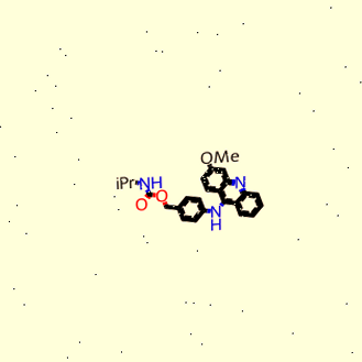 COc1ccc2c(Nc3ccc(COC(=O)NC(C)C)cc3)c3ccccc3nc2c1